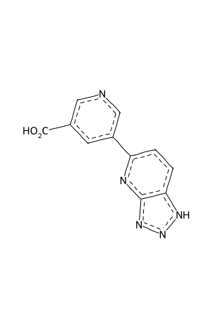 O=C(O)c1cncc(-c2ccc3[nH]nnc3n2)c1